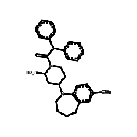 COc1ccc2c(c1)CCCCN2[C@@H]1CCN(C(=O)C(c2ccccc2)c2ccccc2)[C@H](C(=O)O)C1